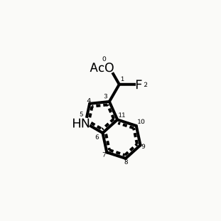 CC(=O)OC(F)c1c[nH]c2ccccc12